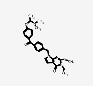 CCn1c(SC)nc2c(ccn2Cc2ccc(C(=O)c3ccc(OC(C)N(C)C)cc3)cc2)c1=O